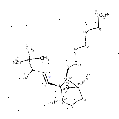 CCCCC(C)(C)C(O)/C=C/[C@H]1[C@@H](COCCCCC(=O)O)[C@H]2CC[C@@H]1O2